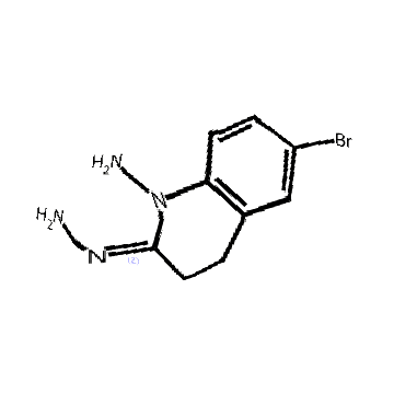 N/N=C1/CCc2cc(Br)ccc2N1N